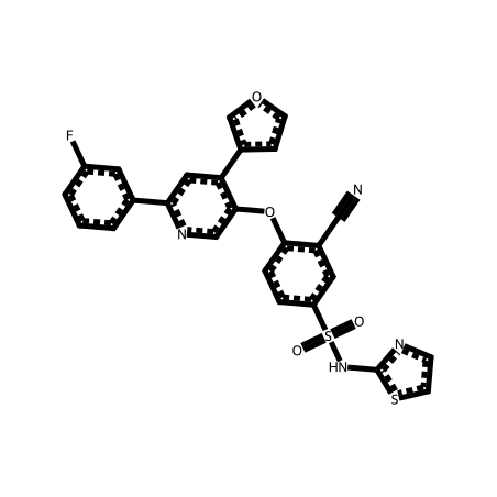 N#Cc1cc(S(=O)(=O)Nc2nccs2)ccc1Oc1cnc(-c2cccc(F)c2)cc1-c1ccoc1